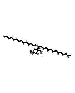 CCCCCCCCCCCCCOC(CCCCCCCCCCCCC)C(CO)(CO)CO